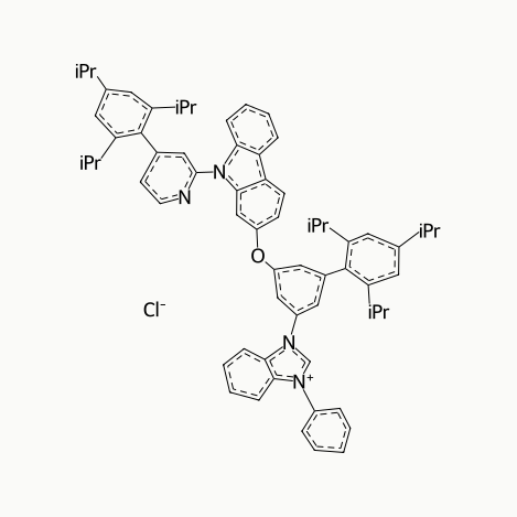 CC(C)c1cc(C(C)C)c(-c2cc(Oc3ccc4c5ccccc5n(-c5cc(-c6c(C(C)C)cc(C(C)C)cc6C(C)C)ccn5)c4c3)cc(-n3c[n+](-c4ccccc4)c4ccccc43)c2)c(C(C)C)c1.[Cl-]